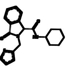 O=C(NC1CCCCC1)C1c2ccccc2C(=O)N1Cc1cccs1